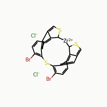 Brc1ccc2c3c1Sc1c(Br)ccc4c1=CC1=CS[CH]([Zr+2][CH]5SC=C(C=3)C=25)C=41.[Cl-].[Cl-]